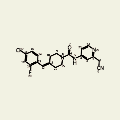 N#CCc1cc(NC(=O)N2CCC(=Cc3ccc(Cl)cc3F)CC2)ccn1